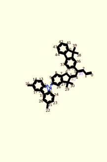 C=C/C=C(\C=C1/Cc2ccc(-n3c4ccc(C)cc4c4cc(C)ccc43)cc2C1(C)C)c1ccc2c(c1)C(C)(C)c1ccccc1-2